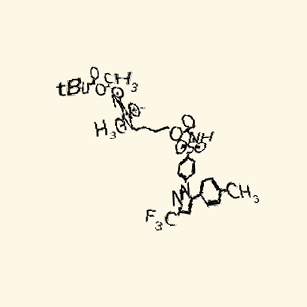 Cc1ccc(-c2cc(C(F)(F)F)nn2-c2ccc(S(=O)(=O)NC(=O)OCCCCN(C)[N+]([O-])=NOC(C)OC(=O)C(C)(C)C)cc2)cc1